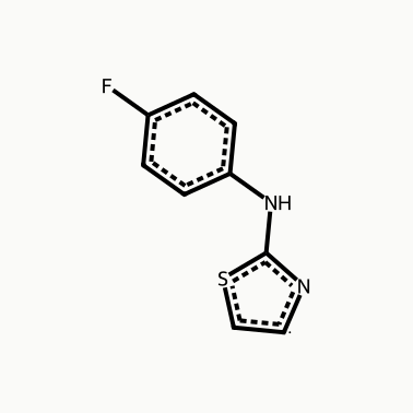 Fc1ccc(Nc2n[c]cs2)cc1